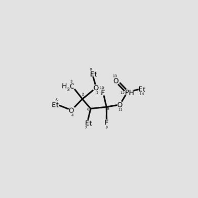 CCOC(C)(OCC)C(CC)C(F)(F)O[PH](=O)CC